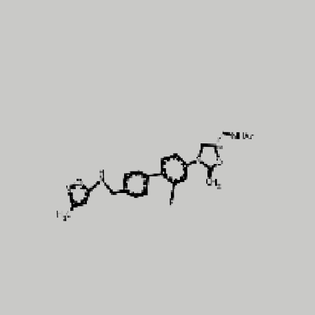 C=C1O[C@@H](CNC(C)=O)CN1c1ccc(-c2ccc(CNc3cc(C)no3)cc2)c(F)c1